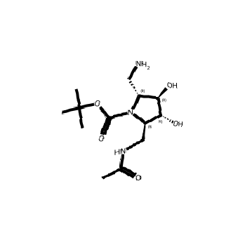 CC(=O)NC[C@@H]1[C@@H](O)[C@H](O)[C@@H](CN)N1C(=O)OC(C)(C)C